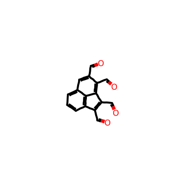 O=CC1=C(C=O)c2c(C=O)c(C=O)cc3cccc1c23